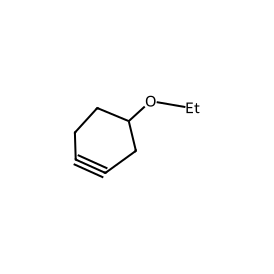 CCOC1CC#CCC1